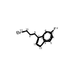 Fc1ccc2c(c1)C(CCCBr)=CC2